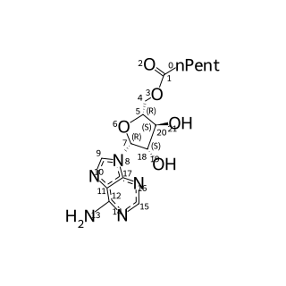 CCCCCC(=O)OC[C@H]1O[C@@H](n2cnc3c(N)ncnc32)[C@@H](O)[C@@H]1O